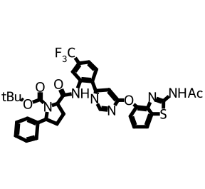 CC(=O)Nc1nc2c(Oc3cc(-c4ccc(C(F)(F)F)cc4NC(=O)C4CCC(c5ccccc5)N4C(=O)OC(C)(C)C)ncn3)cccc2s1